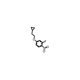 O=[N+]([O-])c1ccc(OCCC2CC2)cc1F